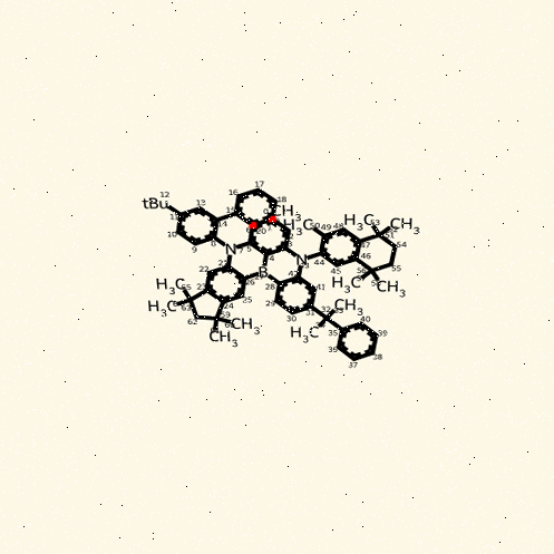 Cc1cc2c3c(c1)N(c1ccc(C(C)(C)C)cc1-c1ccccc1)c1cc4c(cc1B3c1ccc(C(C)(C)c3ccccc3)cc1N2c1cc2c(cc1C)C(C)(C)CCC2(C)C)C(C)(C)CC4(C)C